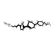 CCC/C=C/c1ccc(C2=CCC(C3CCC(CCC)CC3)CC2)[se]1